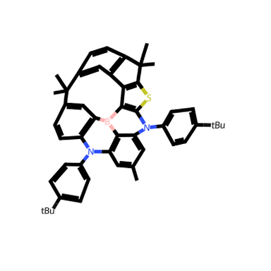 Cc1cc2c3c(c1)N(c1ccc(C(C)(C)C)cc1)c1sc4c5c1B3c1cc(ccc1N2c1ccc(C(C)(C)C)cc1)C(C)(C)c1ccc(c-5c1)C4(C)C